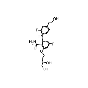 NC(=O)c1c(Nc2ccc(CCO)cc2F)cc(F)cc1OCC[C@@H](O)CO